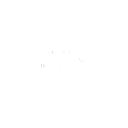 O=[N+]([O-])CC(O)c1cccnc1C(F)(F)F